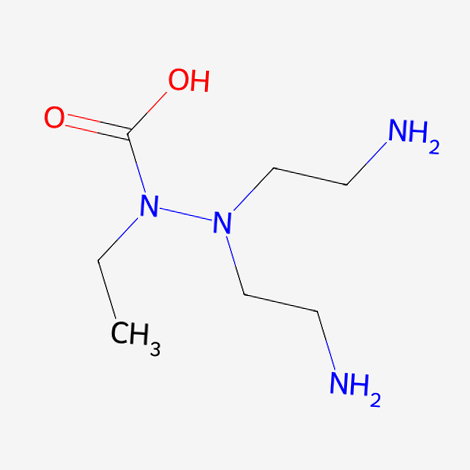 CCN(C(=O)O)N(CCN)CCN